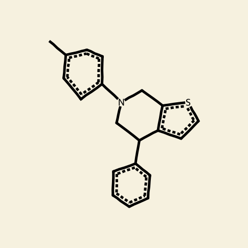 Cc1ccc(N2Cc3sccc3C(c3ccccc3)C2)cc1